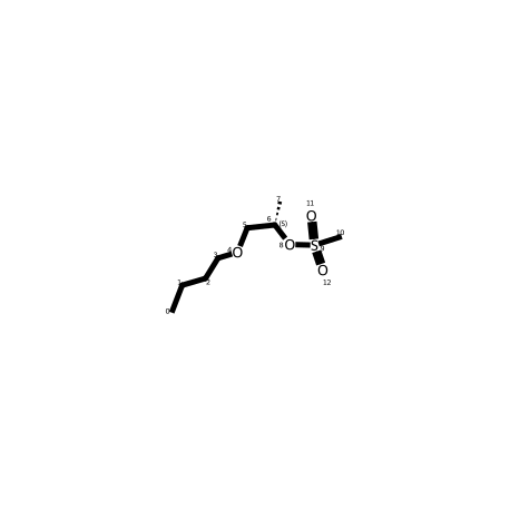 CCCCOC[C@H](C)OS(C)(=O)=O